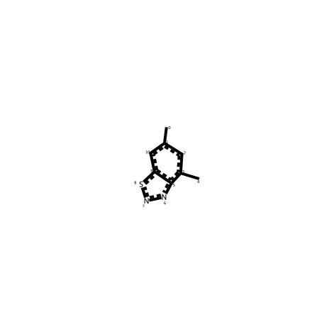 Cc1cc(C)c2nnsc2c1